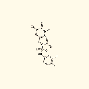 CCC1Oc2cc(S(=O)(=O)Nc3ccc(C)c(F)c3)c(Br)cc2N(C)C1=O